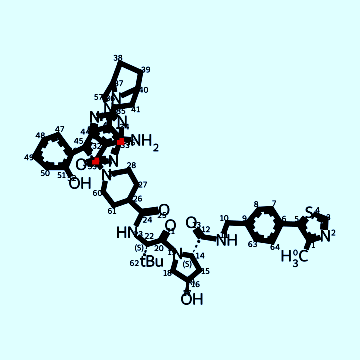 Cc1ncsc1-c1ccc(CNC(=O)[C@@H]2C[C@@H](O)CN2C(=O)[C@@H](NC(=O)C2CCN(C(=O)c3cnc(N4C5CCC4CN(c4cc(-c6ccccc6O)nnc4N)C5)nc3)CC2)C(C)(C)C)cc1